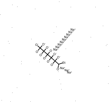 CCC([O-])C([O-])([O-])C([O-])([O-])C([O-])([O-])C([O-])([O-])C([O-])([O-])[O-].[Na+].[Na+].[Na+].[Na+].[Na+].[Na+].[Na+].[Na+].[Na+].[Na+].[Na+].[Na+]